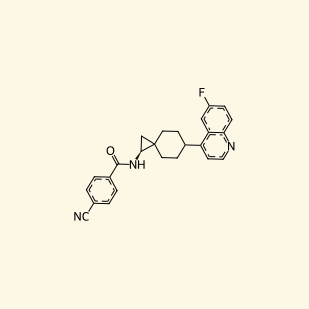 N#Cc1ccc(C(=O)N[C@H]2CC23CCC(c2ccnc4ccc(F)cc24)CC3)cc1